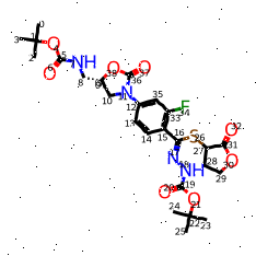 CC(C)(C)OC(=O)NC[C@H]1CN(c2ccc(C(=NNC(=O)OC(C)(C)C)SC3CCOC3=O)c(F)c2)C(=O)O1